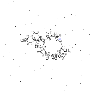 C[C@@H]1C/C=C/[C@H](O)[C@@H]2CC[C@H]2CN2C[C@@]3(CCCc4cc(Cl)ccc43)COc3ccc(cc32)C(=O)NS(=O)(=O)[C@H]1C1CC1